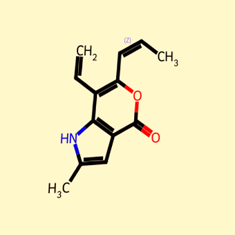 C=Cc1c(/C=C\C)oc(=O)c2cc(C)[nH]c12